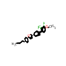 CCCCC[C@H]1CC[C@H](C2CC[C@@H](C3CCC(c4ccc(OCC)c(F)c4F)CC3)CO2)CC1